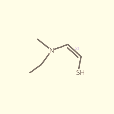 CCN(C)/C=C\S